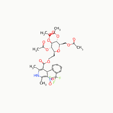 CC(=O)OC[C@H]1O[C@@H](CCOC(=O)C2=C(C)NC(C)=C([N+](=O)[O-])C2c2ccccc2C(F)(F)F)[C@H](OC(C)=O)[C@@H](OC(C)=O)[C@@H]1OC(C)=O